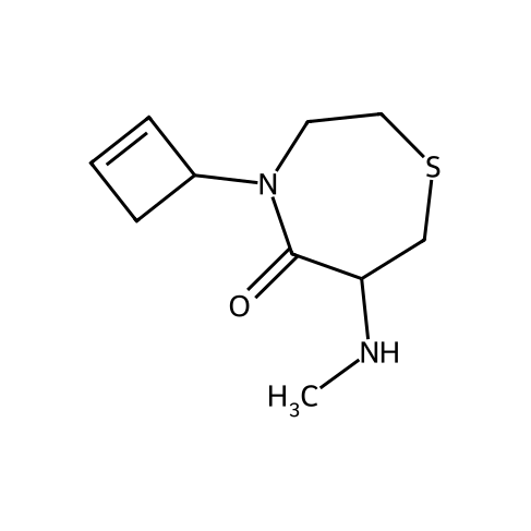 CNC1CSCCN(C2C=CC2)C1=O